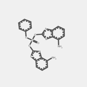 Nc1cccc2sc(OP(=O)(Oc3ccccc3)Oc3nc4c(N)cccc4s3)nc12